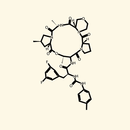 Cc1ccc(NC(=O)N[C@@H](Cc2cc(F)cc(F)c2)C(=O)NC2C(=O)N3CCC[C@H]3C(=O)N3CCOC[C@H]3C(=O)N[C@@H](C)C(=O)N3C[C@H](C)C[C@H]3C(=O)O[C@H]2C)cc1